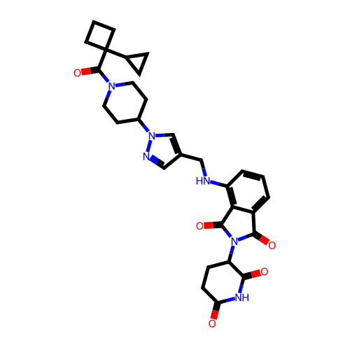 O=C1CCC(N2C(=O)c3cccc(NCc4cnn(C5CCN(C(=O)C6(C7CC7)CCC6)CC5)c4)c3C2=O)C(=O)N1